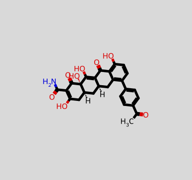 CC(=O)c1ccc(-c2ccc(O)c3c2C[C@H]2C[C@H]4CC(O)=C(C(N)=O)C(=O)[C@@]4(O)C(O)=C2C3=O)cc1